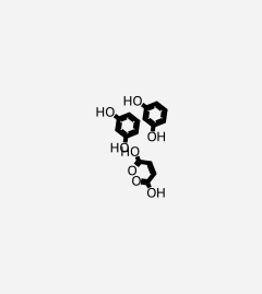 O=C(O)/C=C\C(=O)O.Oc1cccc(O)c1.Oc1cccc(O)c1